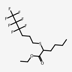 CCCCC(SCCCC(F)(F)C(F)(F)C(F)(F)F)C(=O)OCC